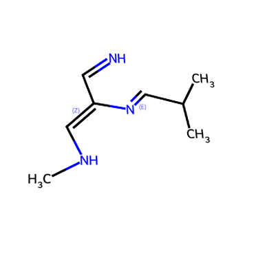 CN/C=C(C=N)\N=C\C(C)C